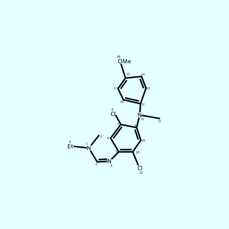 CCN(C)/C=N\c1cc(Cl)c(N(C)c2ccc(OC)cc2)cc1Cl